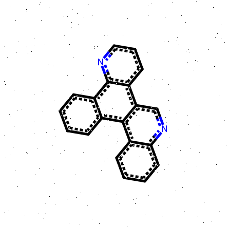 c1ccc2c(c1)ncc1c3cccnc3c3ccccc3c21